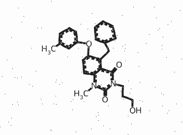 Cc1cccc(Oc2ccc3c(c2Cc2ccccc2)c(=O)n(CCCO)c(=O)n3C)c1